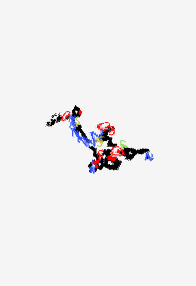 COC(=O)c1nc(N(CCCC(C[N+]2(C)CCN(C)CC2)O[Si](c2ccccc2)(c2ccccc2)C(C)(C)C)c2cc(C)c(/N=c3\sc4ccccc4n3COCC[Si](C)(C)C)nn2)sc1CCCOc1ccc(C#CCN(C)C)cc1F